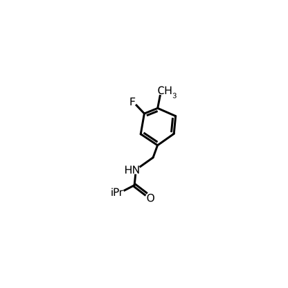 Cc1ccc(CNC(=O)C(C)C)cc1F